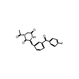 CC(=O)N1CC(=O)N/C(=C\c2cccc(C(=O)c3ccc(F)cc3)c2)C1=O